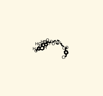 C[C@]12C=CC(=O)C=C1CC[C@@H]1[C@@H]2C(O)C[C@@]2(C)[C@H]1CC[C@]2(O)C(=O)COC(=O)CN1CCN(CCCOC(=O)c2ccc(CCl)cc2)CC1